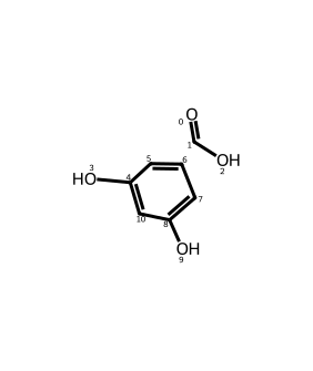 O=CO.Oc1cccc(O)c1